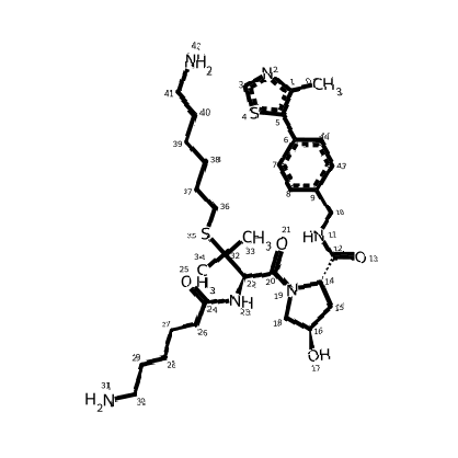 Cc1ncsc1-c1ccc(CNC(=O)[C@@H]2C[C@@H](O)CN2C(=O)[C@@H](NC(=O)CCCCCN)C(C)(C)SCCCCCCN)cc1